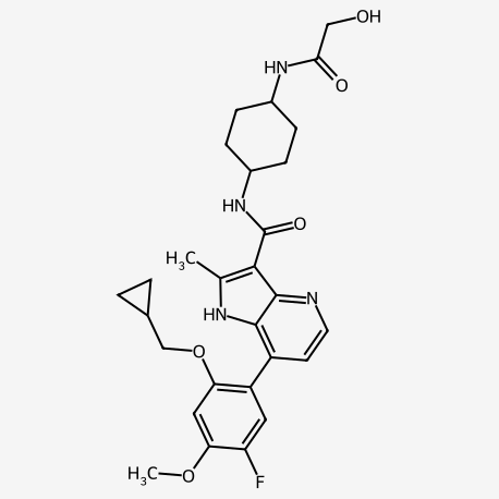 COc1cc(OCC2CC2)c(-c2ccnc3c(C(=O)NC4CCC(NC(=O)CO)CC4)c(C)[nH]c23)cc1F